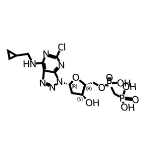 O=P(O)(O)CP(=O)(O)OC[C@H]1O[C@@H](n2nnc3c(NCC4CC4)nc(Cl)nc32)C[C@@H]1O